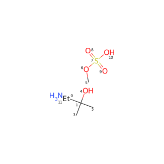 CCC(C)(C)O.COS(=O)(=O)O.N